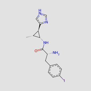 C[C@H]1[C@@H](NC(=O)[C@H](N)Cc2ccc(I)cc2)[C@@H]1c1c[nH]cn1